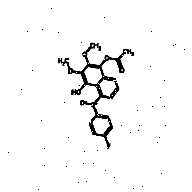 COc1c(OC)c(O)c2c([S+]([O-])c3ccc(F)cc3)cccc2c1OC(C)=O